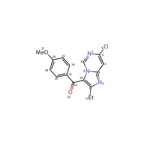 CCc1nc2cc(Cl)ncn2c1C(=O)c1ccc(OC)cc1